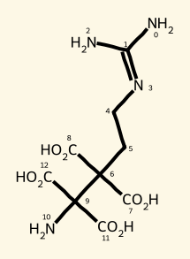 NC(N)=NCCC(C(=O)O)(C(=O)O)C(N)(C(=O)O)C(=O)O